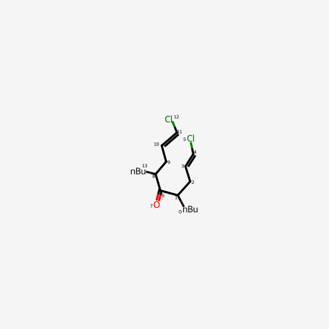 CCCCC(CC=CCl)C(=O)C(CC=CCl)CCCC